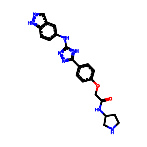 O=C(COc1ccc(-c2nnc(Nc3ccc4[nH]ncc4c3)[nH]2)cc1)NC1CCNC1